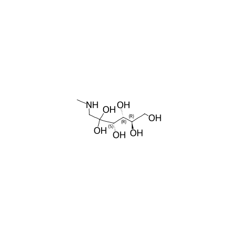 CNCC(O)(O)[C@@H](O)[C@H](O)[C@H](O)CO